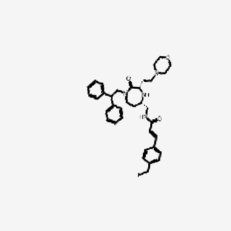 O=C(/C=C/c1ccc(CI)cc1)NC[C@@H]1CCN(CC(c2ccccc2)c2ccccc2)C(=O)[C@H](CCN2CCOCC2)N1